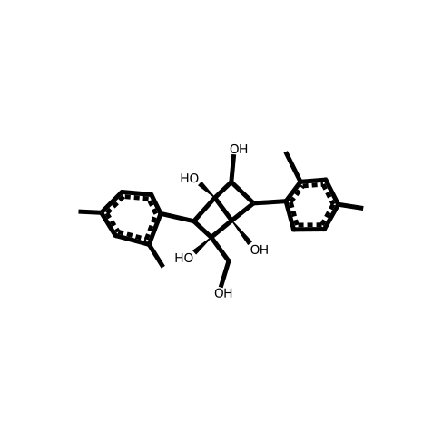 Cc1ccc(C2C(O)[C@@]3(O)C(c4ccc(C)cc4C)[C@@](O)(CO)[C@@]23O)c(C)c1